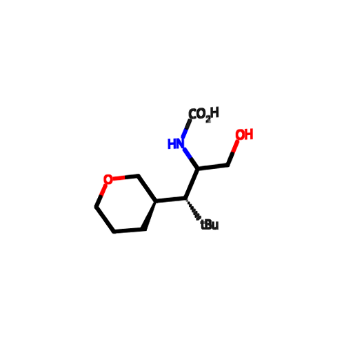 CC(C)(C)[C@@H](C(CO)NC(=O)O)[C@H]1CCCOC1